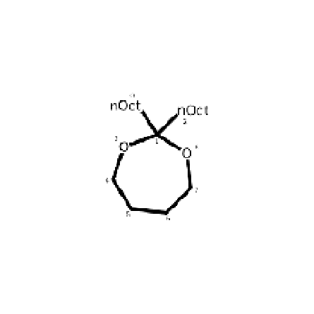 CCCCCCCCC1(CCCCCCCC)OCCCCO1